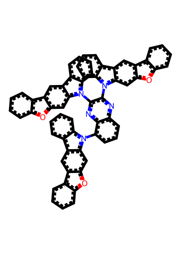 c1cc(-n2c3ccccc3c3cc4c(cc32)oc2ccccc24)c2nc(-n3c4ccccc4c4cc5c(cc43)oc3ccccc35)c(-n3c4ccccc4c4cc5c(cc43)oc3ccccc35)nc2c1